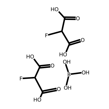 O=C(O)C(F)C(=O)O.O=C(O)C(F)C(=O)O.OB(O)O